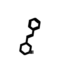 C(=CC1CCCNC1)c1ccccc1